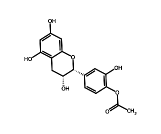 CC(=O)Oc1ccc([C@H]2Oc3cc(O)cc(O)c3C[C@H]2O)cc1O